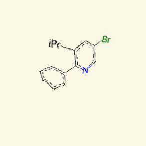 CC(C)c1cc(Br)cnc1-c1ccccc1